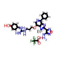 CCn1c(-c2nonc2N)nc2c(-c3ccccc3)ncc(OCCCNC(=N)Nc3ccc(O)cc3)c21.O=C(O)C(F)(F)F